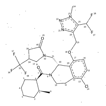 C[C@H]1CCCC[C@H]1C(=O)N1CCc2c(Cl)ccc(OCc3nnn(C)c3C(F)F)c2[C@H]1CN1CC(C(F)(F)F)CC1=O